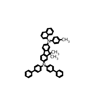 Cc1ccc(N(c2ccc3c(c2)C(C)(C)c2cc(N(c4ccc(-c5ccccc5)cc4)c4ccc(-c5ccccc5)cc4)ccc2-3)c2cccc3ccccc23)cc1